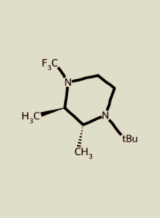 C[C@@H]1[C@@H](C)N(C(F)(F)F)CCN1C(C)(C)C